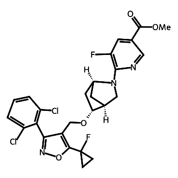 COC(=O)c1cnc(N2C[C@@H]3C[C@H]2C[C@H]3OCc2c(-c3c(Cl)cccc3Cl)noc2C2(F)CC2)c(F)c1